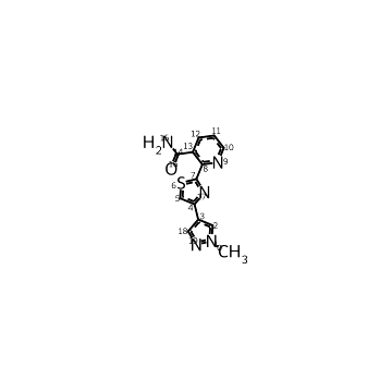 Cn1cc(-c2csc(-c3ncccc3C(N)=O)n2)cn1